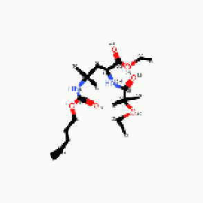 C#CCCCOC(=O)NC(C)(C)CC(NC(=O)C(C)(C)OCC)C(=O)OCC